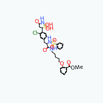 COC(=O)c1ccccc1OCCCCCNC(=O)C(Cc1ccc(C2CC(=O)NS2(O)O)c(Cl)c1)NS(=O)(=O)c1ccccc1